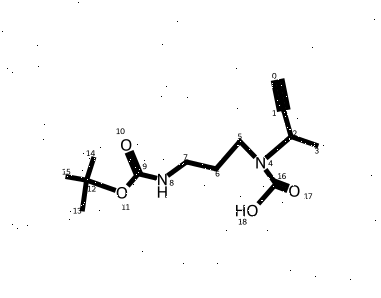 C#CC(C)N(CCCNC(=O)OC(C)(C)C)C(=O)O